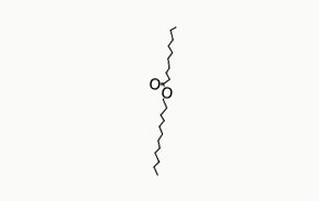 CCCCCCCCCCCCOC(=O)CCCCCCCCC